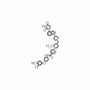 CC1CC(CN2CCC(n3ncc4c(N5CCC(=O)NC5=O)cccc43)CC2)CCN1c1ccc(C(=O)N[C@H]2CC[C@H](Oc3ccc(C#N)c(Cl)c3)CC2)nn1